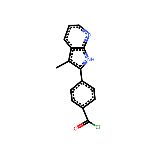 Cc1c(-c2ccc(C(=O)Cl)cc2)[nH]c2ncccc12